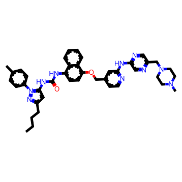 CCCCc1cc(NC(=O)Nc2ccc(OCc3ccnc(Nc4cnc(CN5CCN(C)CC5)cn4)c3)c3ccccc23)n(-c2ccc(C)cc2)n1